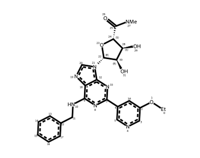 CCOc1cncc(-c2nc(NCc3ccccc3)c3ncn([C@@H]4O[C@H](C(=O)NC)[C@@H](O)[C@H]4O)c3n2)c1